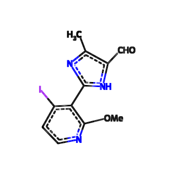 COc1nccc(I)c1-c1nc(C)c(C=O)[nH]1